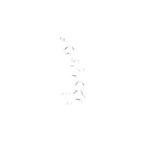 Cc1nnc2ccc(C(=O)NC3CN(c4ccc(C#N)cn4)C3)cc2c1C